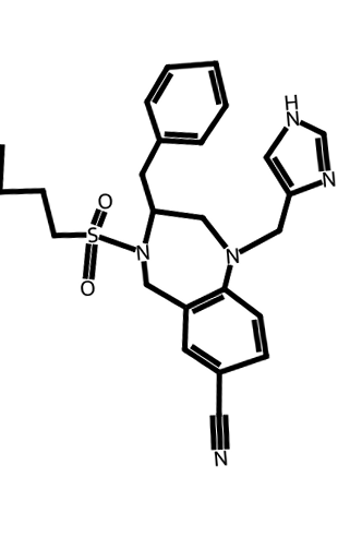 CCCCS(=O)(=O)N1Cc2cc(C#N)ccc2N(Cc2c[nH]cn2)CC1Cc1ccccc1